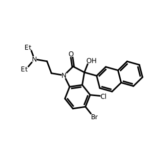 CCN(CC)CCN1C(=O)C(O)(c2ccc3ccccc3c2)c2c1ccc(Br)c2Cl